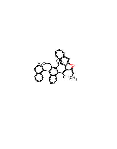 C=Cc1c(/C=C\C)c(-c2cccc3ccccc23)c2ccccc2c1/C(C)=c1/c(=C\C)oc2cc3ccccc3cc12